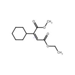 CCOC(=O)/C=C(\C(=O)OC)C1CCCCC1